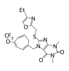 CCc1coc(CSc2nc3c(c(=O)n(C)c(=O)n3C)n2CC2=CC=C(OC(F)(F)F)C=CC2)n1